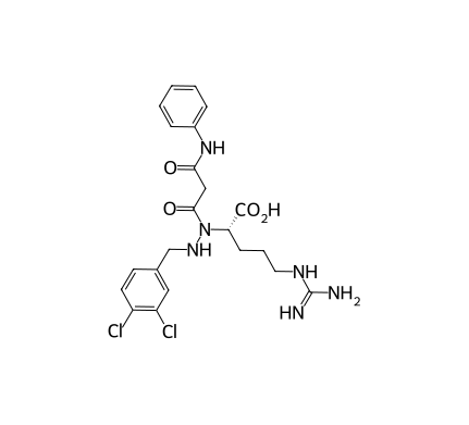 N=C(N)NCCC[C@@H](C(=O)O)N(NCc1ccc(Cl)c(Cl)c1)C(=O)CC(=O)Nc1ccccc1